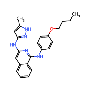 CCCCOc1ccc(Nc2nc(Nc3cc(C)[nH]n3)cc3ccccc23)cc1